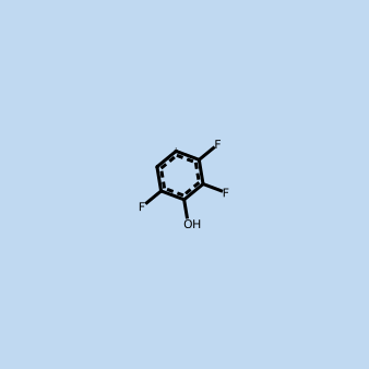 Oc1c(F)c[c]c(F)c1F